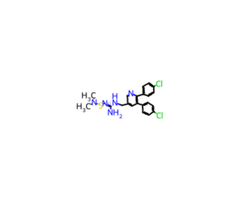 CN(C)S/N=C(\N)NCc1cnc(-c2ccc(Cl)cc2)c(-c2ccc(Cl)cc2)c1